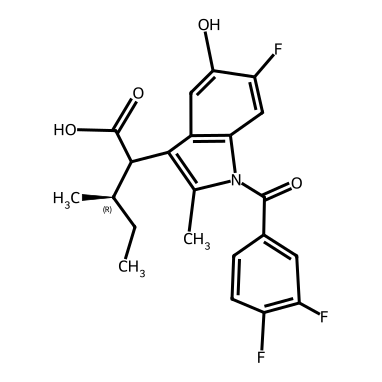 CC[C@@H](C)C(C(=O)O)c1c(C)n(C(=O)c2ccc(F)c(F)c2)c2cc(F)c(O)cc12